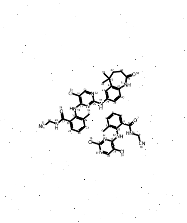 Cc1cccc(C(=O)NCC#N)c1Nc1nc(Cl)ncc1Cl.Cc1cccc(C(=O)NCC#N)c1Nc1nc(Nc2ccc3c(c2)C(C)(C)CCC(=O)N3)ncc1Cl